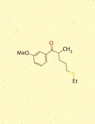 CCSCCCC(C)C(=O)c1cccc(OC)c1